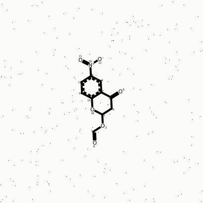 O=COC1CC(=O)c2cc([N+](=O)[O-])ccc2O1